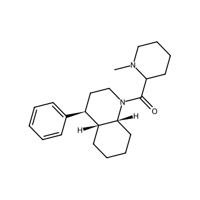 CN1CCCCC1C(=O)N1CC[C@H](c2ccccc2)[C@H]2CCCC[C@H]21